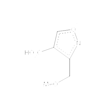 COCc1nocc1C(=O)O